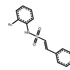 CC(=O)c1ccccc1NS(=O)(=O)/C=C/c1ccccc1